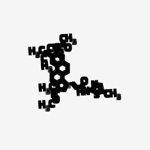 CON=C1C[C@@H](CCC(=O)Nc2ncc(C)s2)C2C3CCc4cc(OC(C)=O)c(C(C)(C)C)cc4C3CC[C@]12C